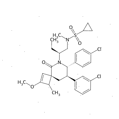 CC[C@@H](CN(C)S(=O)(=O)C1CC1)N1C(=O)[C@]2(C=C(OC)C2C)C[C@H](c2cccc(Cl)c2)[C@H]1c1ccc(Cl)cc1